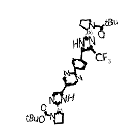 CC(C)(C)OC(=O)N1CCC[C@H]1c1ncc(-c2cnc(-c3ccc(-c4[nH]c([C@@H]5CCCN5C(=O)C(C)(C)C)nc4C(F)(F)F)cc3)nc2)[nH]1